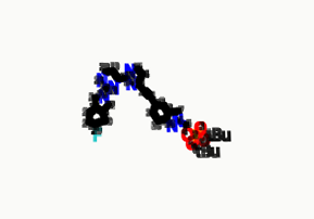 CC(C)(C)OP(=O)(OCn1cc2cc(C#Cc3ccnc(-c4ccnc(N5Cc6ccc(F)cc6C5)n4)n3)ccc2n1)OC(C)(C)C